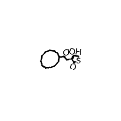 O=C1SCC(O)=C1CC(=O)C1CCCCCCCCCCC1